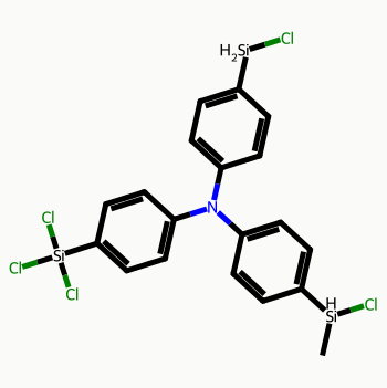 C[SiH](Cl)c1ccc(N(c2ccc([SiH2]Cl)cc2)c2ccc([Si](Cl)(Cl)Cl)cc2)cc1